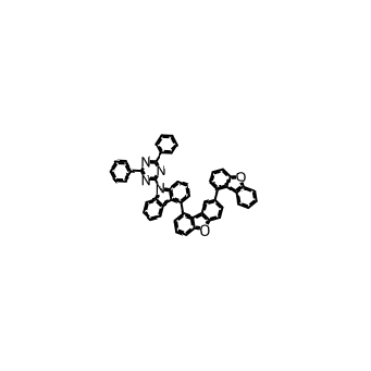 c1ccc(-c2nc(-c3ccccc3)nc(-n3c4ccccc4c4c(-c5cccc6oc7ccc(-c8cccc9oc%10ccccc%10c89)cc7c56)cccc43)n2)cc1